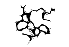 CCN(CC)CCOc1c(C(C)C)cc2ccccc2c1Cc1c(O)c(C(C)C)cc2ccccc12